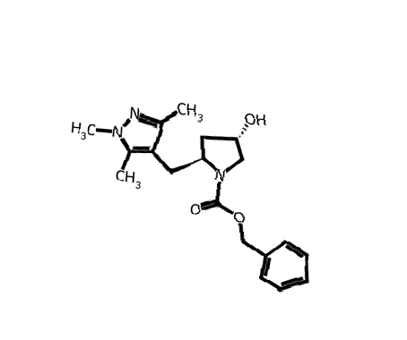 Cc1nn(C)c(C)c1C[C@H]1C[C@H](O)CN1C(=O)OCc1ccccc1